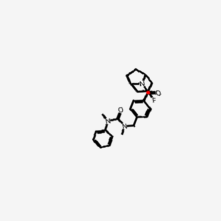 CN(Cc1ccc(C(=O)N2C3CCC2CC(F)C3)cc1)C(=O)N(C)c1ccccc1